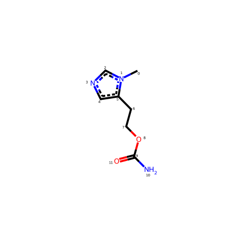 Cn1cncc1CCOC(N)=O